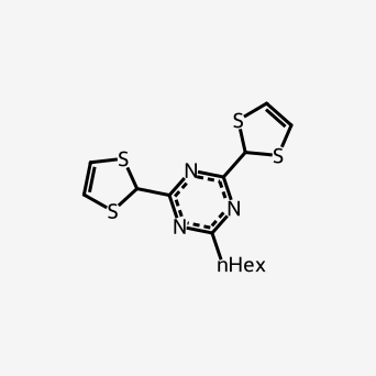 CCCCCCc1nc(C2SC=CS2)nc(C2SC=CS2)n1